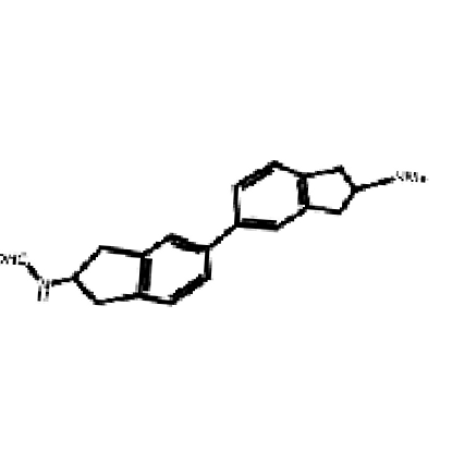 CNC1Cc2ccc(-c3ccc4c(c3)CC(NC=O)C4)cc2C1